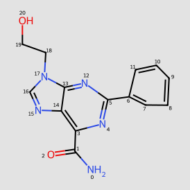 NC(=O)c1nc(-c2ccccc2)nc2c1ncn2CCO